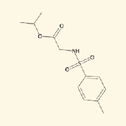 Cc1ccc(S(=O)(=O)NCC(=O)OC(C)C)cc1